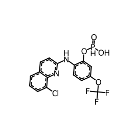 O=[PH](O)Oc1cc(OC(F)(F)F)ccc1Nc1ccc2cccc(Cl)c2n1